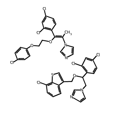 C/C(=C(/OCCOc1ccc(Cl)cc1)c1ccc(Cl)cc1Cl)n1ccnc1.Clc1ccc(C(Cn2ccnc2)OCc2csc3c(Cl)cccc23)c(Cl)c1